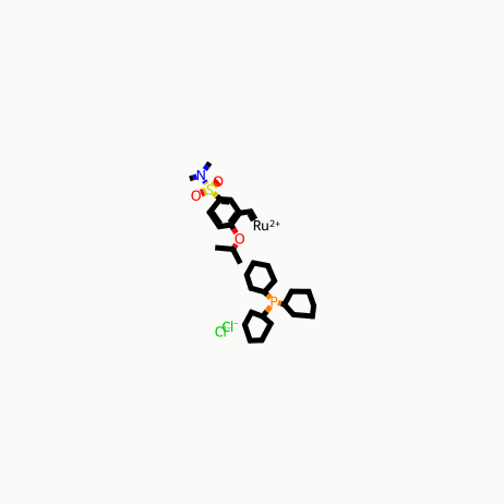 C1CCC(P(C2CCCCC2)C2CCCCC2)CC1.CC(C)Oc1ccc(S(=O)(=O)N(C)C)cc1[CH]=[Ru+2].[Cl-].[Cl-]